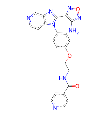 Nc1nonc1-c1nc2cnccc2n1-c1ccc(OCCNC(=O)c2ccncc2)cc1